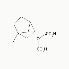 CC12CCC(CC1)C2.O=C(O)OC(=O)O